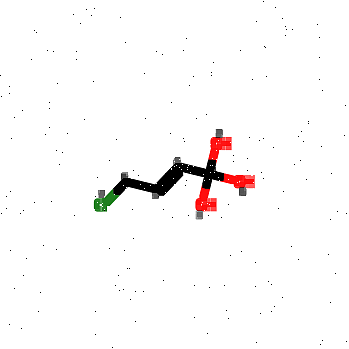 OC(O)(O)C=CCCl